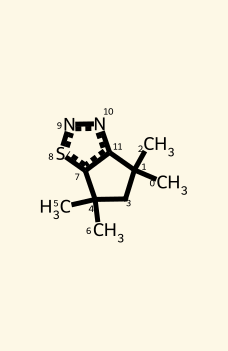 CC1(C)CC(C)(C)c2snnc21